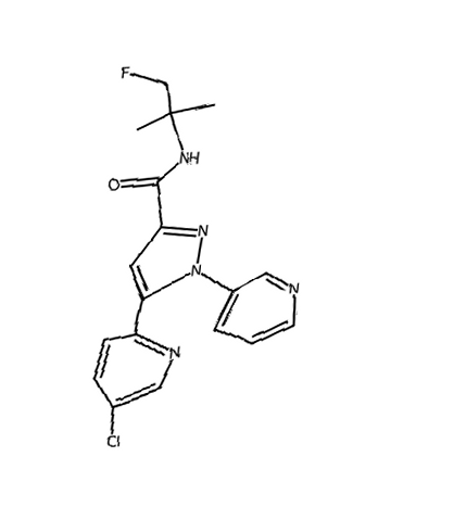 CC(C)(CF)NC(=O)c1cc(-c2ccc(Cl)cn2)n(-c2cccnc2)n1